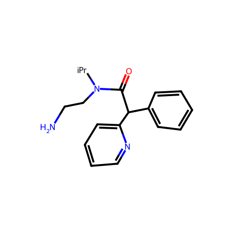 CC(C)N(CCN)C(=O)C(c1ccccc1)c1ccccn1